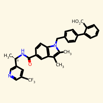 Cc1c(C)n(Cc2ccc(-c3ccccc3C(=O)O)cc2)c2ccc(C(=O)N[C@@H](C)c3cncc(C(F)(F)F)c3)cc12